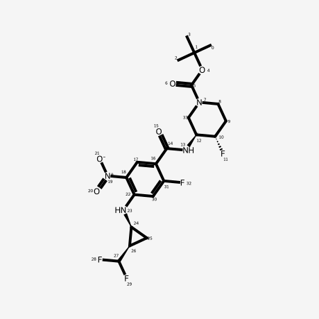 CC(C)(C)OC(=O)N1CC[C@H](F)[C@@H](NC(=O)c2cc([N+](=O)[O-])c(N[C@H]3C[C@H]3C(F)F)cc2F)C1